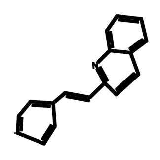 [c]1ccc(C=Cc2ccc3ccccc3n2)cc1